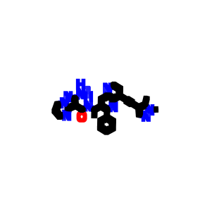 Cc1c(C#Cc2ccnc3cc(C(C)NC(=O)c4c(N)nn5cccnc45)c(-c4ccccc4)nc23)cnn1C